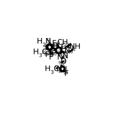 CCC1Cc2c(nc(OC[C@@H]3C[C@@H](F)CN3C)nc2N2CCNC[C@@H]2C)CC1c1c(F)c(N)cc(C)c1C(F)(F)F